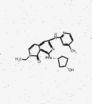 CCn1ccc2cc(Nc3cc(C)ccn3)nc(N[C@@H]3CC[C@H](O)C3)c2c1=O